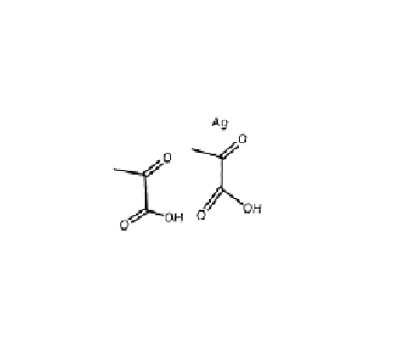 CC(=O)C(=O)O.CC(=O)C(=O)O.[Ag]